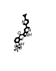 CN(C)S(=O)(=O)Nc1cccc(C(=O)c2c[nH]c3ncc(-c4ccc(C5CC5)nc4)cc23)c1F